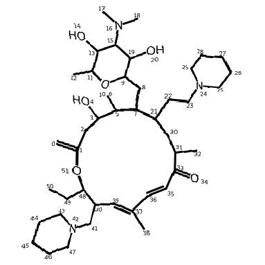 C=C1CC(O)C(C)C(CC2OC(C)C(O)C(N(C)C)C2O)C(CCN2CCCCC2)CC(C)C(=O)/C=C/C(C)=C/C(CN2CCCCC2)C(CC)O1